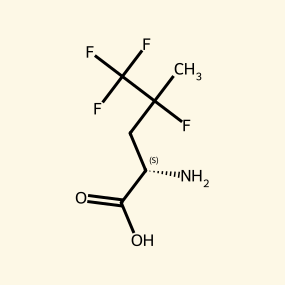 CC(F)(C[C@H](N)C(=O)O)C(F)(F)F